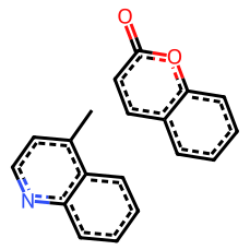 Cc1ccnc2ccccc12.O=c1ccc2ccccc2o1